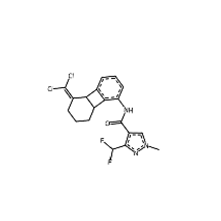 Cn1cc(C(=O)Nc2cccc3c2C2CCCC(=C(Cl)Cl)C32)c(C(F)F)n1